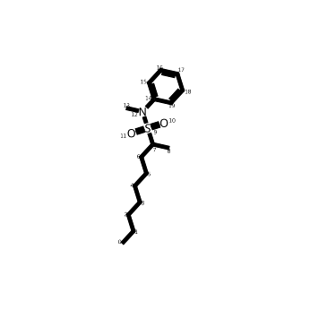 CCCCCCCC(C)S(=O)(=O)N(C)c1ccccc1